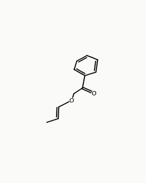 CC=COCC(=O)c1ccccc1